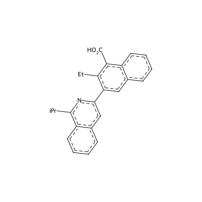 CCc1c(-c2cc3ccccc3c(C(C)C)n2)cc2ccccc2c1C(=O)O